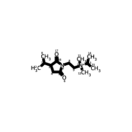 CC(C)C1CC(=O)N(CC[N+](C)(C)C(C)C)C1=O